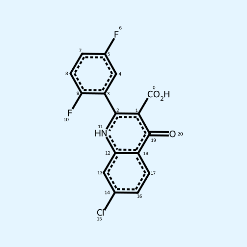 O=C(O)c1c(-c2cc(F)ccc2F)[nH]c2cc(Cl)ccc2c1=O